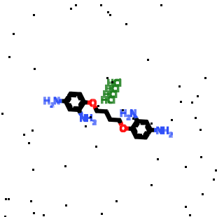 Cl.Cl.Cl.Cl.Nc1ccc(OCCCCOc2ccc(N)cc2N)c(N)c1